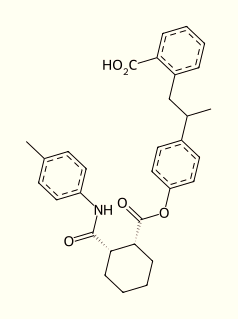 Cc1ccc(NC(=O)[C@H]2CCCC[C@H]2C(=O)Oc2ccc(C(C)Cc3ccccc3C(=O)O)cc2)cc1